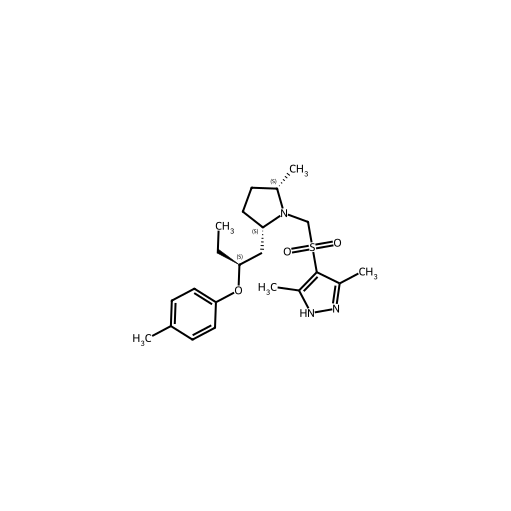 CC[C@@H](C[C@@H]1CC[C@H](C)N1CS(=O)(=O)c1c(C)n[nH]c1C)Oc1ccc(C)cc1